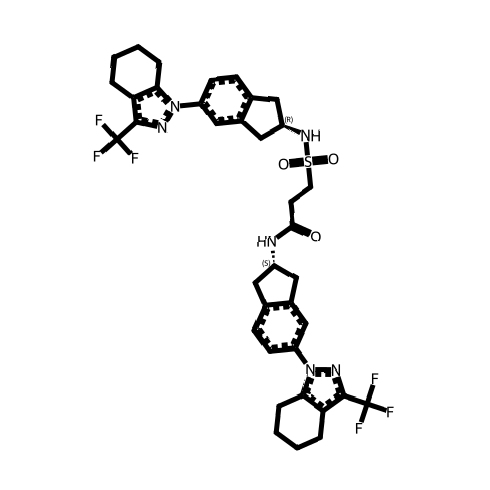 O=C(CCS(=O)(=O)N[C@@H]1Cc2ccc(-n3nc(C(F)(F)F)c4c3CCCC4)cc2C1)N[C@H]1Cc2ccc(-n3nc(C(F)(F)F)c4c3CCCC4)cc2C1